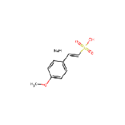 COc1ccc(/C=C/S(=O)(=O)O)cc1.[NaH]